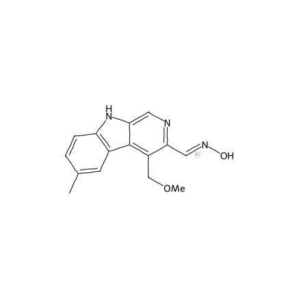 COCc1c(/C=N/O)ncc2[nH]c3ccc(C)cc3c12